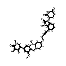 COc1cc(-c2cn(C)c(=O)c(C)c2C)cc(OC)c1CN1CCC(OCC#Cc2cccc3c2n(C)c(=O)n3C2CCC(=O)NC2=O)CC1